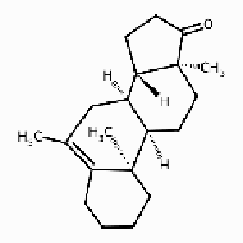 CC1=C2CCCC[C@]2(C)[C@@H]2CC[C@]3(C)C(=O)CC[C@H]3[C@@H]2C1